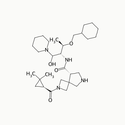 C[C@@H](OCC1CCCCC1)[C@H](NC(=O)[C@@H]1CNCC12CN(C(=O)[C@H]1CC1(C)C)C2)C(O)N1CCCCC1